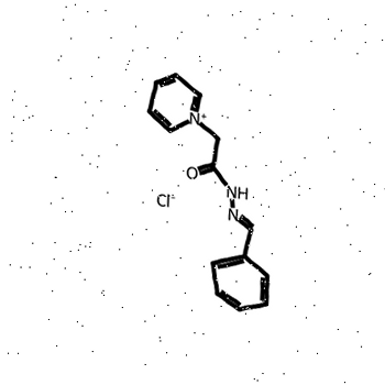 O=C(C[n+]1ccccc1)N/N=C/c1ccccc1.[Cl-]